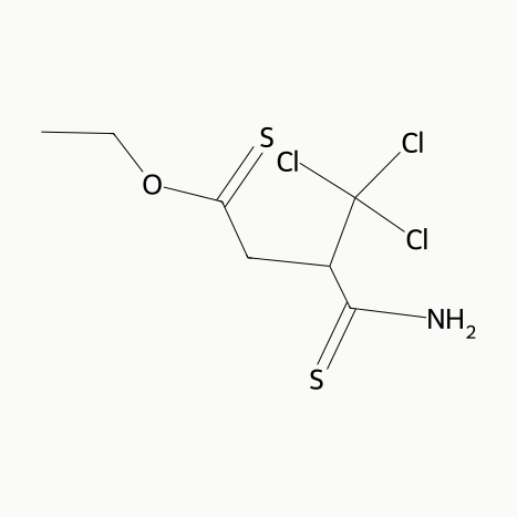 CCOC(=S)CC(C(N)=S)C(Cl)(Cl)Cl